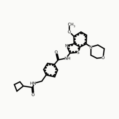 COc1ccc(N2CCOCC2)c2sc(NC(=O)c3ccc(CNC(=O)C4CCC4)cc3)nc12